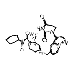 C[C@H]1C[C@H](Cc2ccn3ncc(N4CCC(=O)NC4=O)c3c2)CCN1C(=O)NC1CCCC1